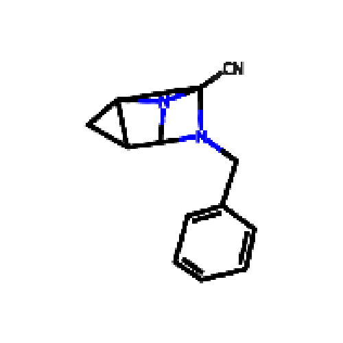 N#CC12N(Cc3ccccc3)C3C4CC41N32